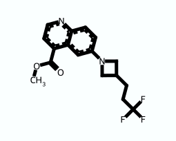 COC(=O)c1ccnc2ccc(N3CC(CCC(F)(F)F)C3)cc12